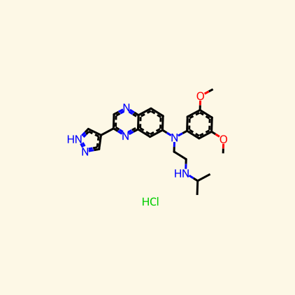 COc1cc(OC)cc(N(CCNC(C)C)c2ccc3ncc(-c4cn[nH]c4)nc3c2)c1.Cl